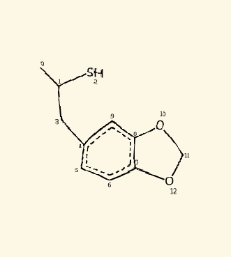 CC(S)Cc1ccc2c(c1)OCO2